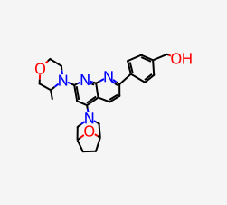 CC1COCCN1c1cc(N2CC3CCC(C2)O3)c2ccc(-c3ccc(CO)cc3)nc2n1